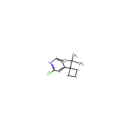 CC(C)(C)C1(c2ccnc(Cl)c2)CCC1